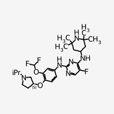 CC(C)N1CC[C@H](Oc2ccc(Nc3ncc(F)c(NC4CC(C)(C)NC(C)(C)C4)n3)cc2OC(F)F)C1